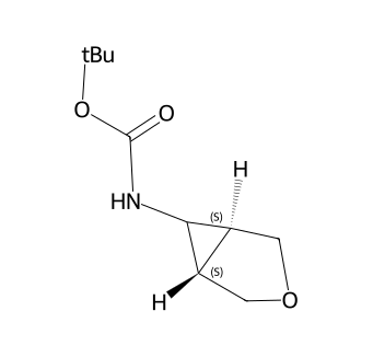 CC(C)(C)OC(=O)NC1[C@H]2COC[C@H]12